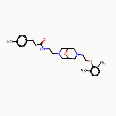 Cc1cccc(C)c1OCCN1CC2CN(CCNC(=O)CCc3ccc(C#N)cc3)CC(C1)O2